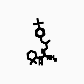 CC(CN=C(N)NC1CCCCC1(C)C)Cc1ccc(C(C)(C)C)cc1